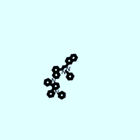 c1ccc(-c2nc(-c3ccc4ccccc4c3)cc(-c3cccc4cc(-n5c6ccccc6c6c7c8ccccc8n(-c8ccccc8)c7ccc65)ccc34)n2)cc1